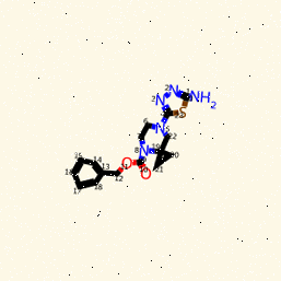 Nc1nnc(N2CCN(C(=O)OCc3ccccc3)C3(CC3)C2)s1